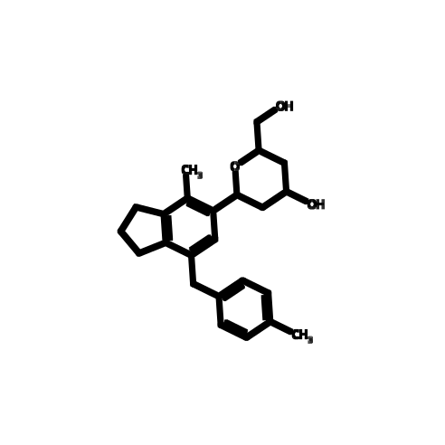 Cc1ccc(Cc2cc(C3CC(O)CC(CO)O3)c(C)c3c2CCC3)cc1